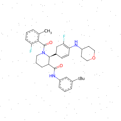 Cc1cccc(F)c1C(=O)N1CCCC(C(=O)Nc2cccc(C(C)(C)C)c2)[C@@H]1C1C=CC(NC2CCOCC2)=C(F)C1